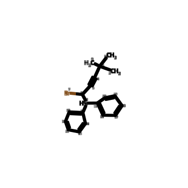 CC(C)(C)C#CC(Br)[SiH](c1ccccc1)c1ccccc1